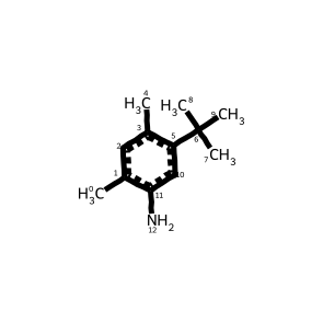 Cc1cc(C)c(C(C)(C)C)cc1N